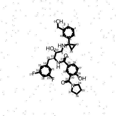 CCc1cccc(C2(NC[C@H](O)[C@H](Cc3cc(F)cc(F)c3)NC(=O)c3ccc(O)c(C(=O)N4CCCC4)c3)CC2)c1